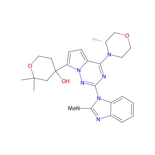 CNc1nc2ccccc2n1-c1nc(N2CCOC[C@H]2C)c2ccc(C3(O)CCOC(C)(C)C3)n2n1